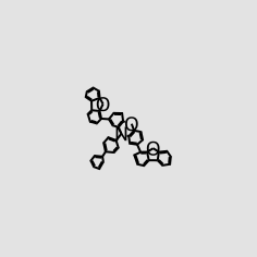 c1ccc(-c2ccc(N3c4cc(-c5cccc6c5oc5ccccc56)ccc4Oc4ccc(-c5cccc6c5oc5ccccc56)cc43)cc2)cc1